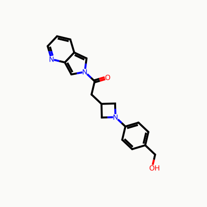 O=C(CC1CN(c2ccc(CO)cc2)C1)n1cc2cccnc2c1